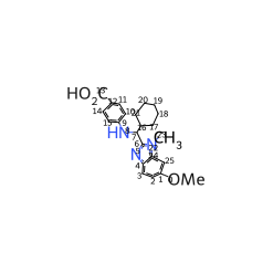 COc1ccc2nc(C(Nc3ccc(C(=O)O)cc3)C3CCCCC3)n(C)c2c1